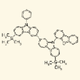 C[Si](C)(C)c1ccc2c(c1)c1cc(-c3ccc4c5cc([Si](C)(C)C)ccc5n(-c5cccc6c5oc5ccccc56)c4c3)ccc1n2-c1ccccc1